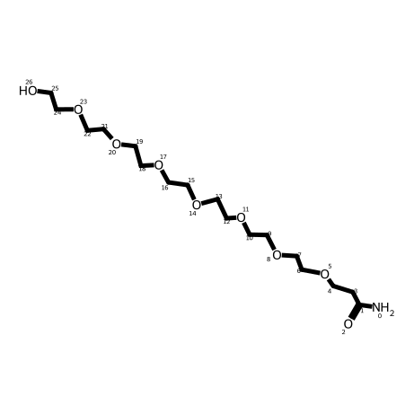 NC(=O)CCOCCOCCOCCOCCOCCOCCOCCO